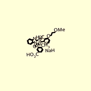 COCCCOc1ccnc(C[S+]([O-])c2nc3ccccc3n2S(=O)(=O)c2cc(C(=O)O)ccc2C)c1C.[NaH]